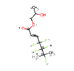 CC(O)COC(=O)C=CC(F)(F)C(F)(F)C(C)(F)C(F)(F)F